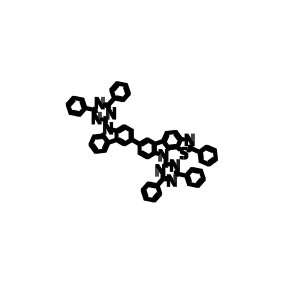 c1ccc(-c2nc(-c3ccccc3)nc(-n3c4ccccc4c4cc(-c5ccc6c(c5)c5ccc7nc(-c8ccccc8)sc7c5n6-c5nc(-c6ccccc6)nc(-c6ccccc6)n5)ccc43)n2)cc1